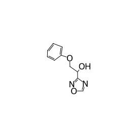 OC(COc1ccccc1)c1ncon1